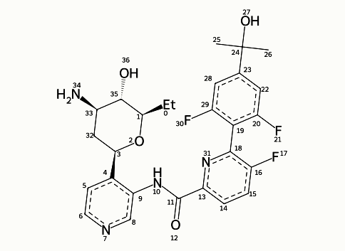 CC[C@H]1O[C@@H](c2ccncc2NC(=O)c2ccc(F)c(-c3c(F)cc(C(C)(C)O)cc3F)n2)C[C@@H](N)[C@@H]1O